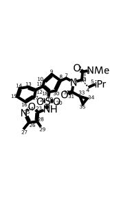 CNC(=O)[C@H](CC(C)C)N(Cc1ccc(-c2ccccc2)c(S(=O)(=O)Nc2onc(C)c2C)c1)C(=O)C1CC1